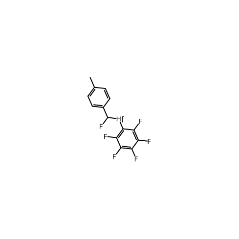 Cc1ccc([CH](F)[Hf][c]2c(F)c(F)c(F)c(F)c2F)cc1